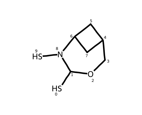 SC1OCC2CC(C2)N1S